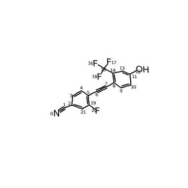 N#Cc1ccc(C#Cc2ccc(O)cc2C(F)(F)F)c(F)c1